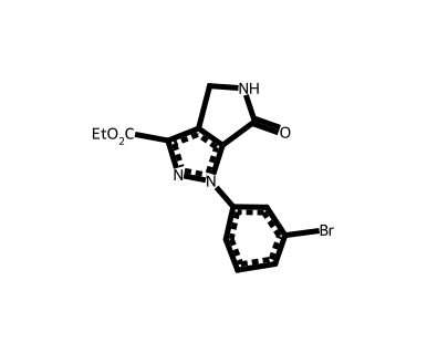 CCOC(=O)c1nn(-c2cccc(Br)c2)c2c1CNC2=O